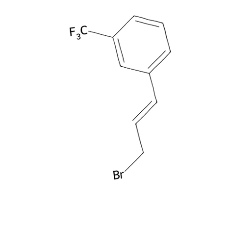 FC(F)(F)c1cccc(C=CCBr)c1